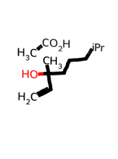 C=CC(C)(O)CCCC(C)C.CC(=O)O